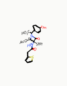 CS[C@]1(NC(=O)Cc2cccs2)C(=O)N(C(C(=O)O)c2ccc(O)cc2)[C@@H]1OC(C)=O